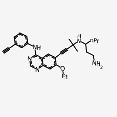 C#Cc1cccc(Nc2ncnc3cc(OCC)c(C#CC(C)(C)NC(CCC)CCN)cc23)c1